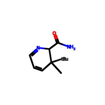 CC(C)(C)C1(C)C=CC=NC1C(N)=O